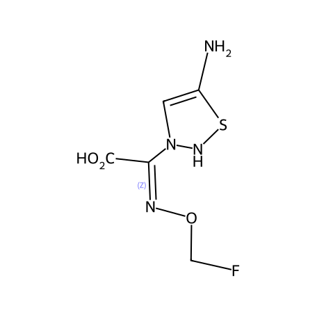 NC1=CN(/C(=N\OCF)C(=O)O)NS1